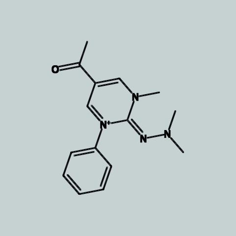 CC(=O)c1cn(C)/c(=N\N(C)C)[n+](-c2ccccc2)c1